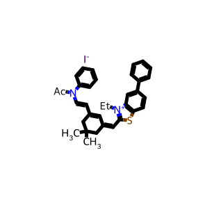 CC[n+]1c(C=C2C=C(C=CN(C(C)=O)c3ccccc3)CC(C)(C)C2)sc2ccc(-c3ccccc3)cc21.[I-]